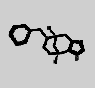 c1ccc(CN2CC[C@H]3C[C@@H]2Cc2nc[nH]c23)cc1